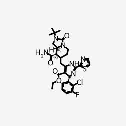 CCOC(=O)C1=C(CC2CCN3C(=O)N(C(C)(C)C)C[C@H]3[C@@H]2C(N)=O)NC(c2nccs2)=N[C@H]1c1cccc(F)c1Cl